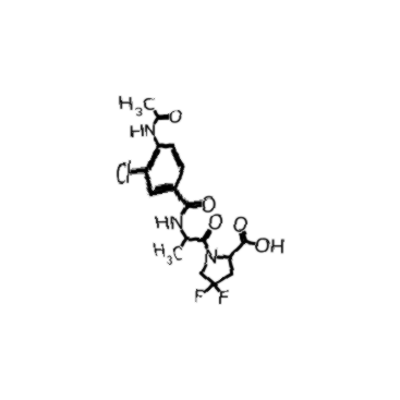 CC(=O)Nc1ccc(C(=O)NC(C)C(=O)N2CC(F)(F)CC2C(=O)O)cc1Cl